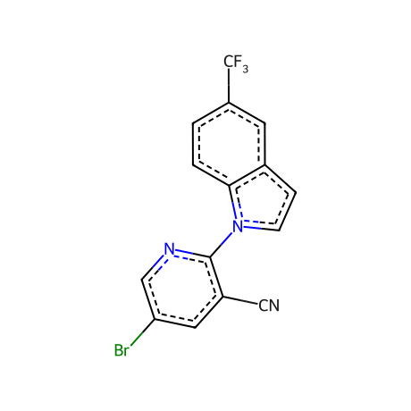 N#Cc1cc(Br)cnc1-n1ccc2cc(C(F)(F)F)ccc21